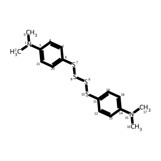 CN(C)c1ccc(SSSSc2ccc(N(C)C)cc2)cc1